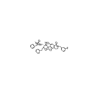 CN(Cc1ccccc1)C(=O)NC[C@H](NC(=O)c1c(Cl)cc2c(c1Cl)CCN(Cc1cccc(F)c1)C2=O)C(=O)CCc1ccccc1